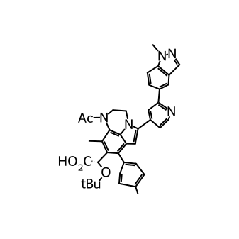 CC(=O)N1CCn2c(-c3ccnc(-c4ccc5c(cnn5C)c4)c3)cc3c(-c4ccc(C)cc4)c([C@H](OC(C)(C)C)C(=O)O)c(C)c1c32